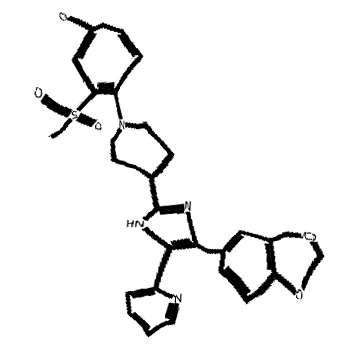 CS(=O)(=O)c1cc(Cl)ccc1N1CCC(c2nc(-c3ccc4c(c3)OCO4)c(-c3ccccn3)[nH]2)CC1